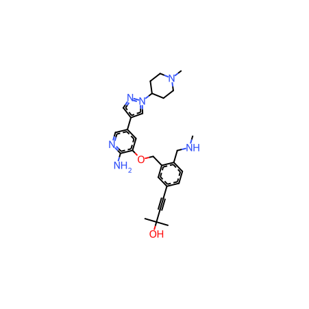 CNCc1ccc(C#CC(C)(C)O)cc1COc1cc(-c2cnn(C3CCN(C)CC3)c2)cnc1N